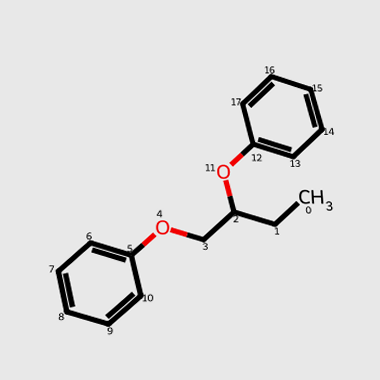 CCC(COc1ccccc1)Oc1ccccc1